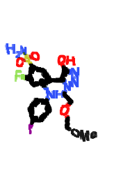 COCCOCCn1nnc(O)c1-c1cc(S(N)(=O)=O)c(F)cc1Nc1ccc(I)cc1